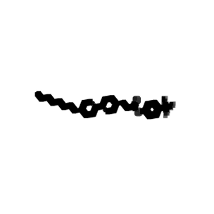 CCCCCCCC[C@H]1CC[C@H]([C@H]2CC[C@H](CCC(=O)Oc3ccc(C(F)(F)F)cc3)CC2)CC1